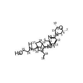 Cc1nc(N2C[C@@H](C)O[C@@H](C)C2)ccc1NC1C(CI)CC2(CNCCO)CCC1C2